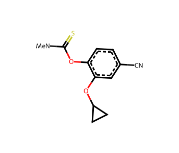 CNC(=S)Oc1ccc(C#N)cc1OC1CC1